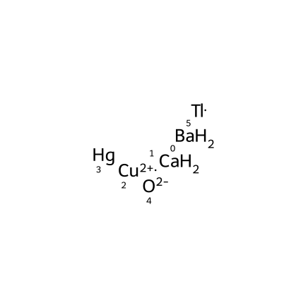 [BaH2].[CaH2].[Cu+2].[Hg].[O-2].[Tl]